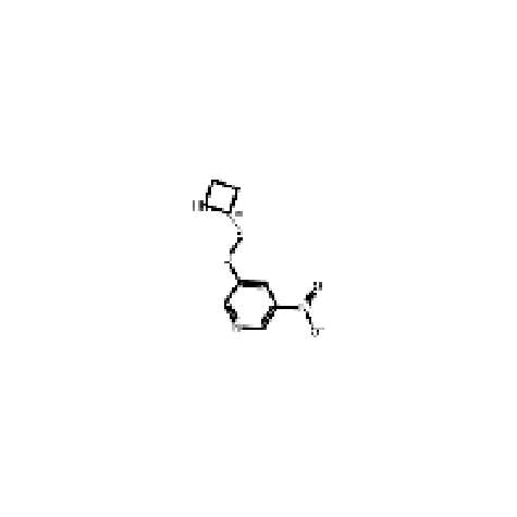 O=[N+]([O-])c1cncc(OC[C@H]2CCN2)c1